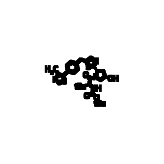 Cc1ncsc1-c1ccc(Cc2cnc([C@@H]3C[C@@H](O)CN3C(=O)[C@@H](NC(=O)OC(C)(C)C)C(C)(C)C)s2)cc1